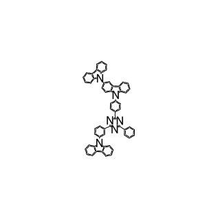 c1ccc(-c2nc(-c3ccc(-n4c5ccccc5c5cc(-n6c7ccccc7c7ccccc76)ccc54)cc3)nc(-c3cccc(-n4c5ccccc5c5ccccc54)c3)n2)cc1